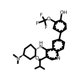 CC(C)C(=O)c1cnc2ccc(-c3ccc(O)c(OC(F)(F)F)c3)cc2c1N[C@H]1CC[C@H](N(C)C)CC1